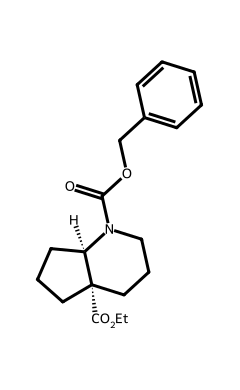 CCOC(=O)[C@]12CCC[C@H]1N(C(=O)OCc1ccccc1)CCC2